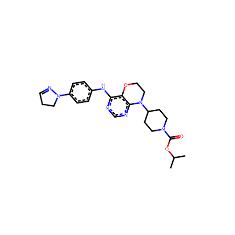 CC(C)OC(=O)N1CCC(N2CCOc3c(Nc4ccc(N5CCC=N5)cc4)ncnc32)CC1